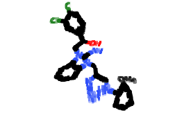 COc1ccccc1N/C=C(/Cn1c(=N)n(CC(O)c2ccc(Cl)c(Cl)c2)c2ccccc21)N=N